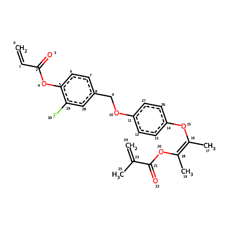 C=CC(=O)Oc1ccc(COc2ccc(OC(C)=C(C)OC(=O)C(=C)C)cc2)cc1F